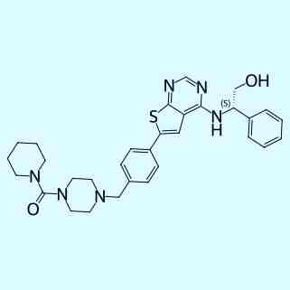 O=C(N1CCCCC1)N1CCN(Cc2ccc(-c3cc4c(N[C@H](CO)c5ccccc5)ncnc4s3)cc2)CC1